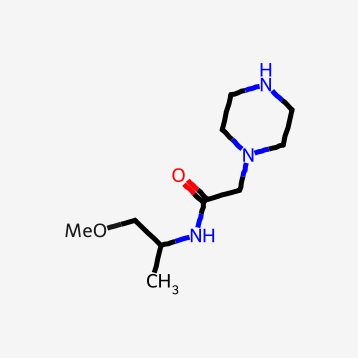 COCC(C)NC(=O)CN1CCNCC1